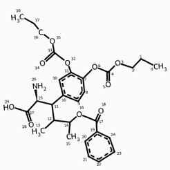 CCCOC(=O)Oc1ccc(C(C(C)C(C)OC(=O)c2ccccc2)[C@H](N)C(=O)O)cc1OC(=O)OCCC